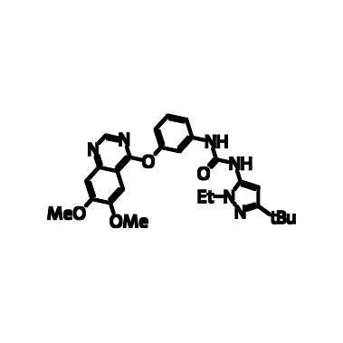 CCn1nc(C(C)(C)C)cc1NC(=O)Nc1cccc(Oc2ncnc3cc(OC)c(OC)cc23)c1